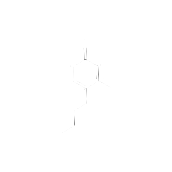 CCCCC1=CCC(=O)[C]=C1C